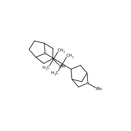 CC(C)(C)C1CC2CCC(C1)N2C(C)(C)C(C)(C)C1CC2CC1CN2C(C)(C)C